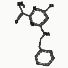 CCc1cc(NCc2ccccc2)nc(C(N)=O)n1